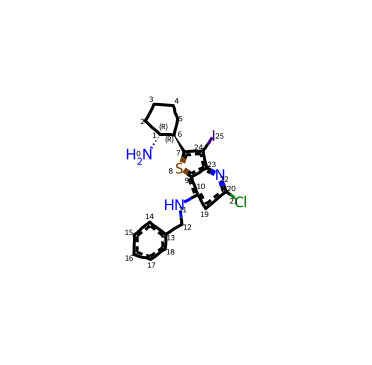 N[C@@H]1CCCC[C@H]1c1sc2c(NCc3ccccc3)cc(Cl)nc2c1I